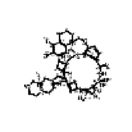 CO[C@@]1(CN2CCN3CCOC[C@H]3C2)C2=C[C@@H](C2)[C@H](C)[C@@H](C)S(=O)(=O)NC(=O)c2ccc3c(c2)N(C[C@@H]2CC[C@H]21)C[C@@]1(CCCc2c1ccc(Cl)c2F)CO3